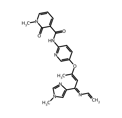 C=C/N=C(\C=C(/C)Oc1ccc(NC(=O)c2cccn(C)c2=O)nc1)c1cn(C)cn1